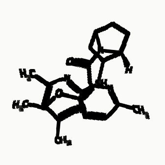 CCOc1ccc(C)nc1C(=O)N1C2CC[C@@H]1C(Nc1nc(C)cc(C)n1)C2